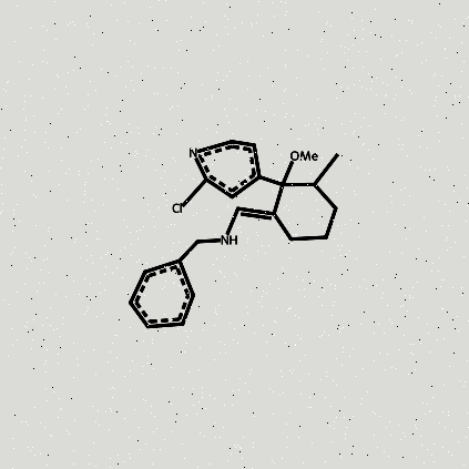 COC1(c2ccnc(Cl)c2)/C(=C/NCc2ccccc2)CCCC1C